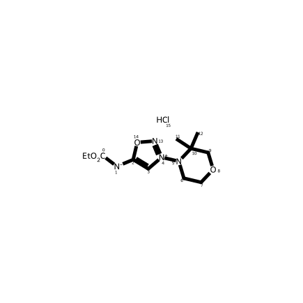 CCOC(=O)[N-]c1c[n+](N2CCOCC2(C)C)no1.Cl